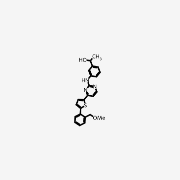 COCc1ccccc1-c1ccc(-c2ccnc(Nc3cccc(C(C)O)c3)n2)s1